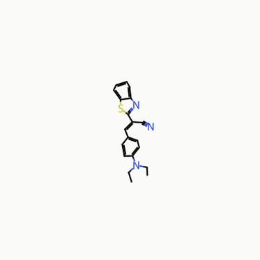 CCN(CC)c1ccc(/C=C(\C#N)c2nc3ccccc3s2)cc1